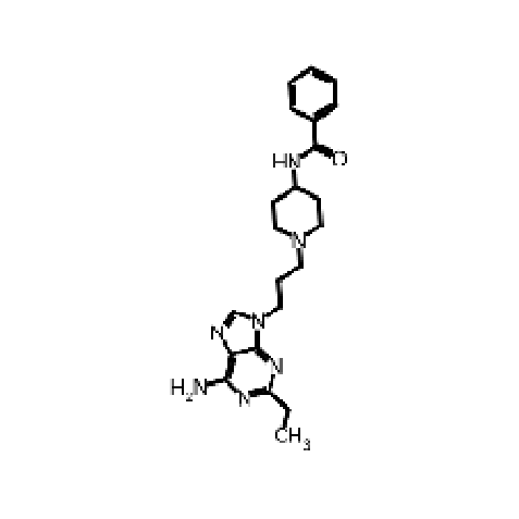 CCc1nc(N)c2ncn(CCCN3CCC(NC(=O)c4ccccc4)CC3)c2n1